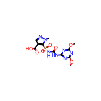 COc1nc(NC(=O)NS(=O)(=O)c2c(C(=O)O)cnn2C)nc(OC)n1